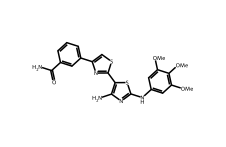 COc1cc(Nc2nc(N)c(-c3nc(-c4cccc(C(N)=O)c4)cs3)s2)cc(OC)c1OC